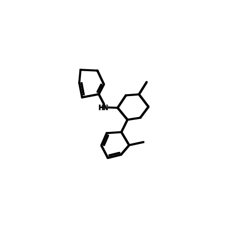 CC1CCC(C2C=CC=CC2C)C(NC2=CCCC=C2)C1